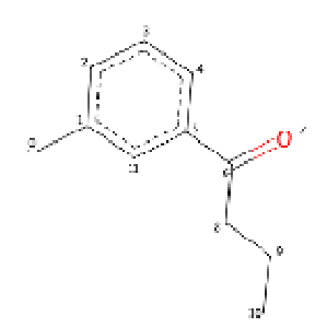 [CH2]c1cccc(C(=O)CCC)c1